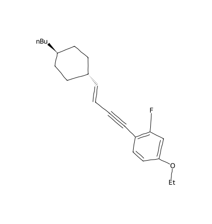 CCCC[C@H]1CC[C@H](C=CC#Cc2ccc(OCC)cc2F)CC1